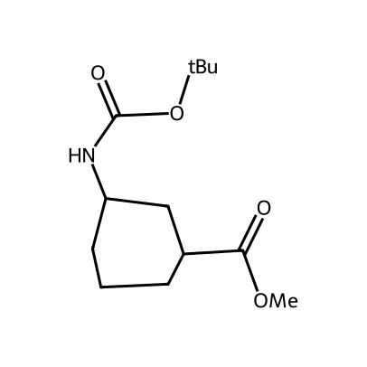 COC(=O)C1CCCC(NC(=O)OC(C)(C)C)C1